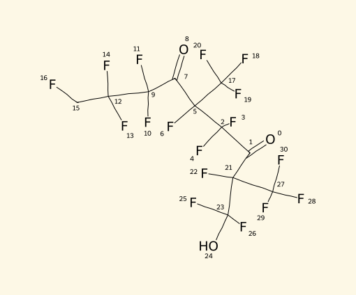 O=C(C(F)(F)C(F)(C(=O)C(F)(F)C(F)(F)CF)C(F)(F)F)C(F)(C(O)(F)F)C(F)(F)F